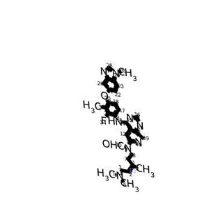 C/C(=C/CN(C)C)CCN(C=O)c1cc2c(Nc3ccc(Oc4ccc5c(c4)ncn5C)c(C)c3F)ncnc2cn1